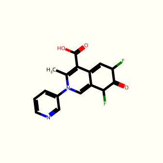 CC1=C(C(=O)O)C2=CC(F)C(=O)C(F)C2=CN1c1cccnc1